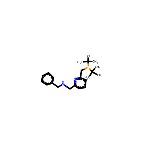 CC(C)(C)P(Cc1cccc(CNCc2ccccc2)n1)C(C)(C)C